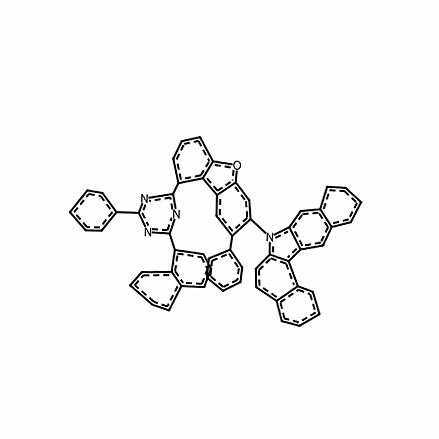 c1ccc(-c2nc(-c3cccc4ccccc34)nc(-c3cccc4oc5cc(-n6c7cc8ccccc8cc7c7c8ccccc8ccc76)c(-c6ccccc6)cc5c34)n2)cc1